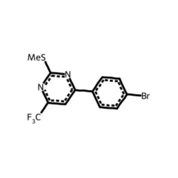 CSc1nc(-c2ccc(Br)cc2)cc(C(F)(F)F)n1